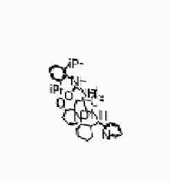 CC(C)c1cccc(C(C)C)c1NC(=O)NC(C)(CC1=NC=CCC1=O)C(=O)NC(c1ccccn1)C1CCCCC1